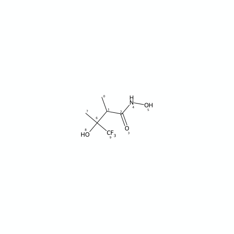 CC(C(=O)NO)C(C)(O)C(F)(F)F